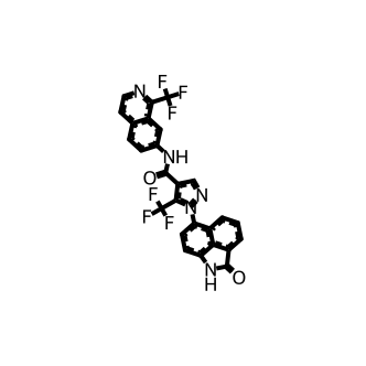 O=C(Nc1ccc2ccnc(C(F)(F)F)c2c1)c1cnn(-c2ccc3c4c(cccc24)C(=O)N3)c1C(F)(F)F